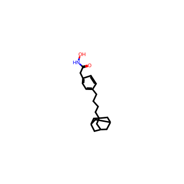 O=C(Cc1ccc(CCCCC23CC4CC(CC(C4)C2)C3)cc1)NO